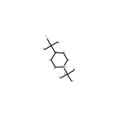 CC(C)(I)C1CCN(C(C)(C)C)CC1